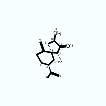 C=C(C)[C@H]1CCC(=C)[C@]2(CC(O)C(=O)[C@@H]2C)C1